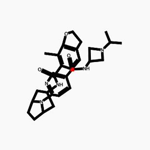 Cc1c(C(=O)NC2CC3CCC(C2)N3c2ccc(C(=O)NC3CN(C(C)C)C3)cn2)ccc2c1OCC2